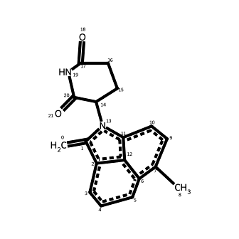 C=c1c2cccc3c(C)ccc(c32)n1C1CCC(=O)NC1=O